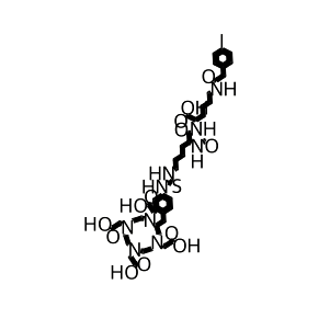 O=CNC(CCCCNC(=S)Nc1ccc(CC2CN(CC(=O)O)CCN(CC(=O)O)CCN(CC(=O)O)CCN2CC(=O)O)cc1)C(=O)NC(CCCCNC(=O)Cc1ccc(I)cc1)C(=O)O